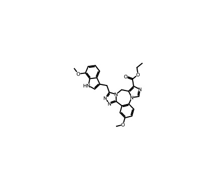 CCOC(=O)c1ncn2c1Cn1c(Cc3c[nH]c4c(OC)cccc34)nnc1-c1cc(OC)ccc1-2